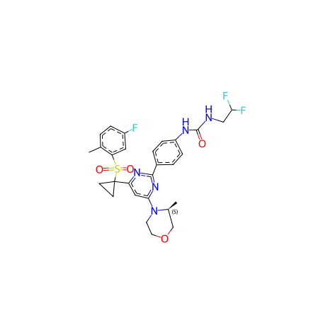 Cc1ccc(F)cc1S(=O)(=O)C1(c2cc(N3CCOC[C@@H]3C)nc(-c3ccc(NC(=O)NCC(F)F)cc3)n2)CC1